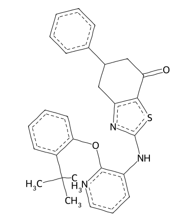 CC(C)(C)c1ccccc1Oc1ncccc1Nc1nc2c(s1)C(=O)CC(c1ccccc1)C2